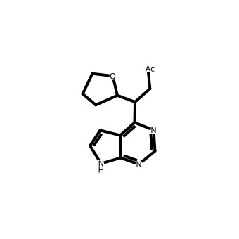 CC(=O)CC(c1ncnc2[nH]ccc12)C1CCCO1